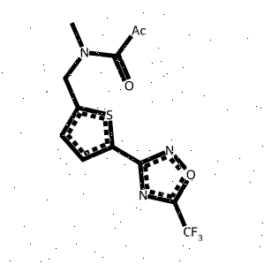 CC(=O)C(=O)N(C)Cc1ccc(-c2noc(C(F)(F)F)n2)s1